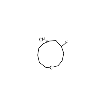 C.FC1CCCCCCCCCCC1